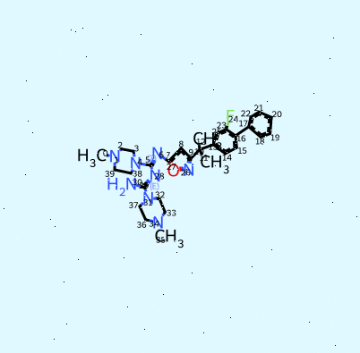 CN1CCN(C(=N/c2cc(C(C)(C)c3ccc(-c4ccccc4)c(F)c3)no2)/N=C(\N)N2CCN(C)CC2)CC1